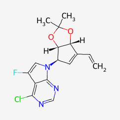 C=CC1=C[C@@H](n2cc(F)c3c(Cl)ncnc32)[C@@H]2OC(C)(C)O[C@H]12